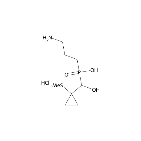 CSC1(C(O)P(=O)(O)CCCN)CC1.Cl